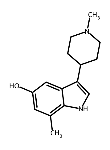 Cc1cc(O)cc2c(C3CCN(C)CC3)c[nH]c12